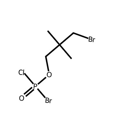 CC(C)(CBr)COP(=O)(Cl)Br